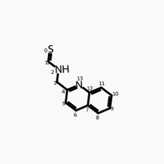 S=[C]NCc1ccc2ccccc2n1